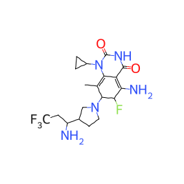 CC1=c2c(c(=O)[nH]c(=O)n2C2CC2)=C(N)C(F)C1N1CCC(C(N)CC(F)(F)F)C1